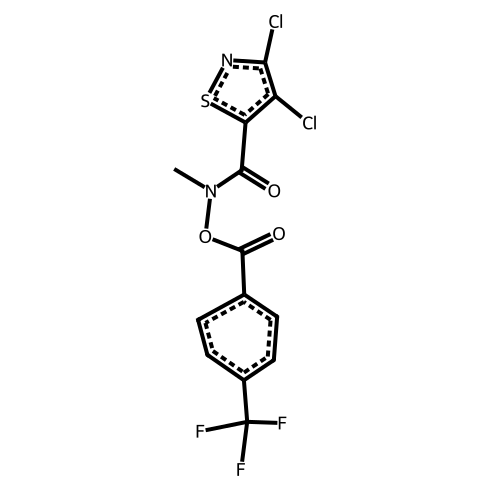 CN(OC(=O)c1ccc(C(F)(F)F)cc1)C(=O)c1snc(Cl)c1Cl